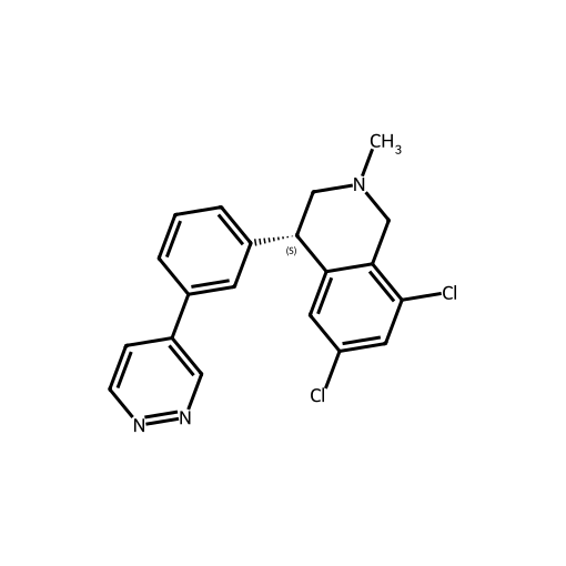 CN1Cc2c(Cl)cc(Cl)cc2[C@H](c2cccc(-c3ccnnc3)c2)C1